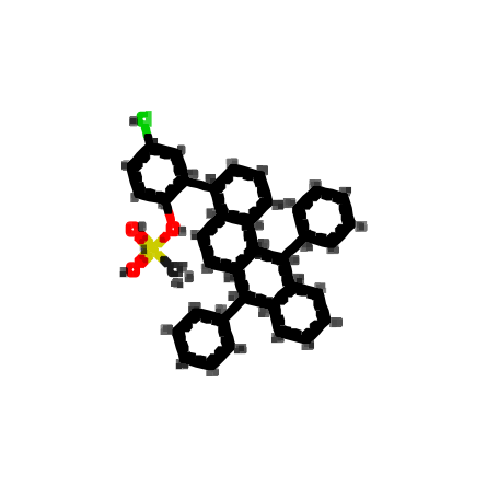 O=S(=O)(Oc1ccc(Cl)cc1-c1cccc2c1ccc1c(-c3ccccc3)c3ccccc3c(-c3ccccc3)c12)C(F)(F)F